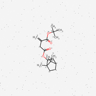 C=C(CC(=O)OC1CC2CCC1(C)C2(C)C)C(=O)OC(C)(C)C